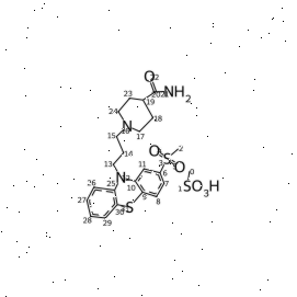 CS(=O)(=O)O.CS(=O)(=O)c1ccc2c(c1)N(CCCN1CCC(C(N)=O)CC1)c1ccccc1S2